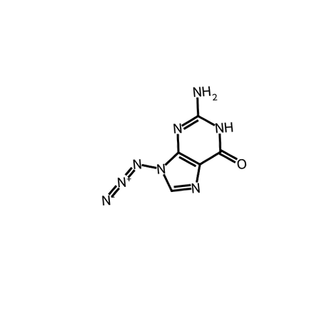 [N-]=[N+]=Nn1cnc2c(=O)[nH]c(N)nc21